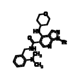 CCn1ncc2c(NC3CCOCC3)c(C(=O)NCc3ccccc3N(C)C)cnc21